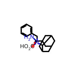 NC(=O)C12CC3CC(C1)C(N(Cc1ccccc1)C(=O)O)C(C3)C2